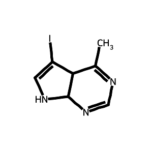 CC1=NC=NC2NC=C(I)C12